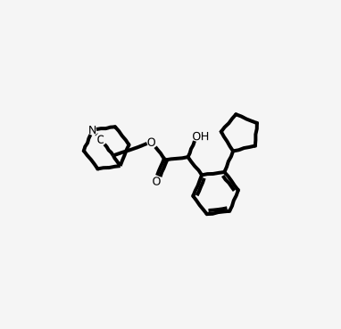 O=C(OC1CN2CCC1CC2)C(O)c1ccccc1C1CCCC1